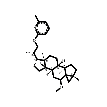 COC1C[C@H]2[C@@H]3CC[C@H]([C@H](C)COc4cccc(C)n4)[C@@]3(C)CC[C@@H]2[C@@]2(C)CC[C@@H]3CC132